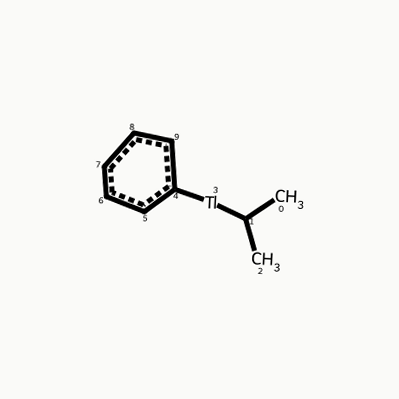 C[CH](C)[Tl][c]1ccccc1